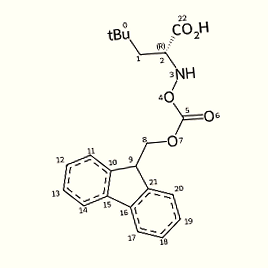 CC(C)(C)C[C@@H](NOC(=O)OCC1c2ccccc2-c2ccccc21)C(=O)O